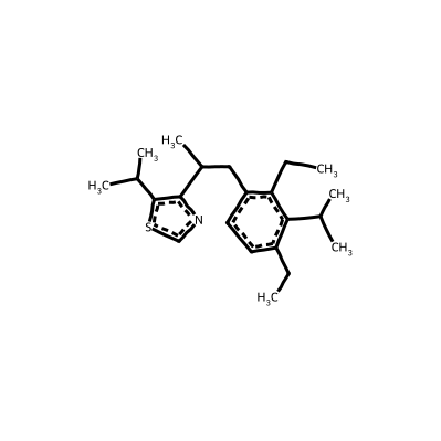 CCc1ccc(CC(C)c2ncsc2C(C)C)c(CC)c1C(C)C